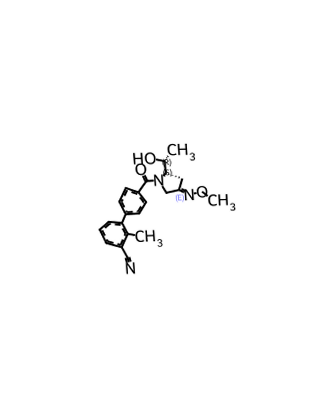 CO/N=C1\C[C@@H]([C@@H](C)O)N(C(=O)c2ccc(-c3cccc(C#N)c3C)cc2)C1